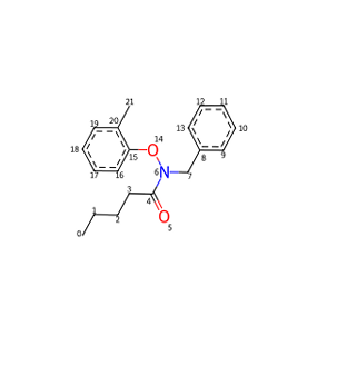 CCCCC(=O)N(Cc1ccccc1)Oc1ccccc1C